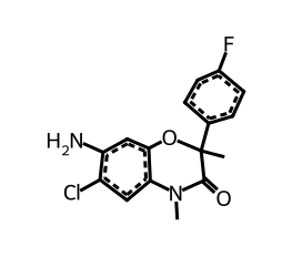 CN1C(=O)C(C)(c2ccc(F)cc2)Oc2cc(N)c(Cl)cc21